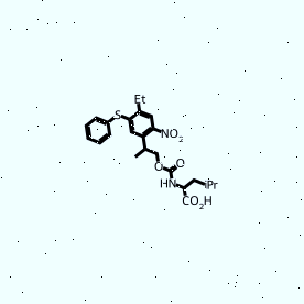 CCc1cc([N+](=O)[O-])c(C(C)COC(=O)NC(CC(C)C)C(=O)O)cc1Sc1ccccc1